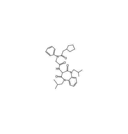 CC(C)CN1C(=O)C(NC(=O)CN(C(=O)CC2CCCC2)c2ccccc2)C(=O)N(CC(C)C)c2ccccc21